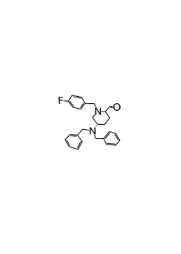 O=CC1CC[C@H](N(Cc2ccccc2)Cc2ccccc2)CN1Cc1ccc(F)cc1